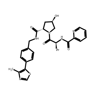 Cc1ncsc1-c1ccc(CNC(=O)[C@@H]2C[C@@H](O)CN2C(=O)[C@@H](NC(=O)c2ccccn2)C(C)C)cc1